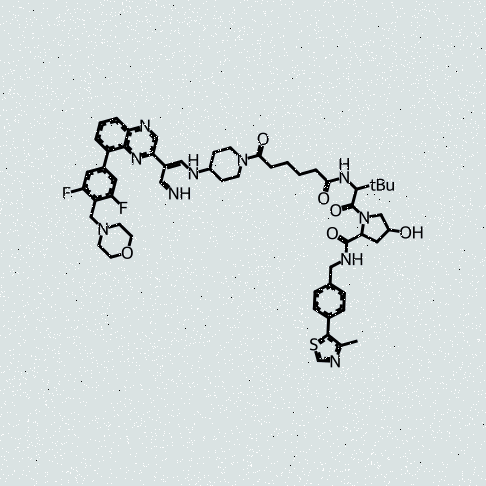 Cc1ncsc1-c1ccc(CNC(=O)C2CC(O)CN2C(=O)C(NC(=O)CCCCC(=O)N2CCC(N/C=C(\C=N)c3cnc4cccc(-c5cc(F)c(CN6CCOCC6)c(F)c5)c4n3)CC2)C(C)(C)C)cc1